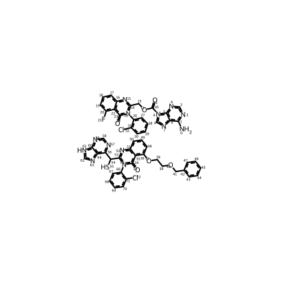 Nc1ncnc2c1ncn2C(=O)OCc1nc2cccc(F)c2c(=O)n1-c1ccccc1Cl.O=c1c2c(OCCOCc3ccccc3)cccc2nc(C(S)c2ncnc3[nH]cnc23)n1-c1ccccc1Cl